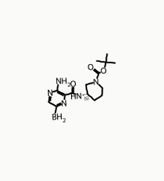 Bc1cnc(N)c(C(=O)N[C@H]2CCCN(C(=O)OC(C)(C)C)C2)n1